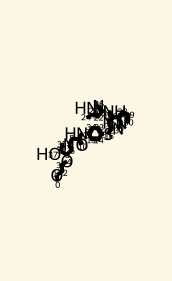 COCCOC1CN(CC(=O)Nc2ccc(Sc3nc(Nc4cc(C)[nH]n4)c4cccn4n3)cc2)CC1O